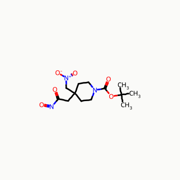 CC(C)(C)OC(=O)N1CCC(CC(=O)N=O)(C[N+](=O)[O-])CC1